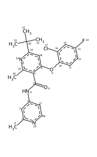 Cc1cc(NC(=O)c2c(Oc3ccc(F)cc3Cl)cc(C(C)(C)C)nc2C)ccn1